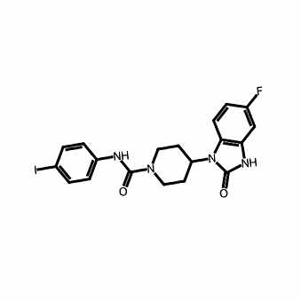 O=C(Nc1ccc(I)cc1)N1CCC(n2c(=O)[nH]c3cc(F)ccc32)CC1